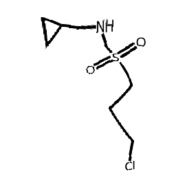 O=S(=O)(CCCCl)NC1CC1